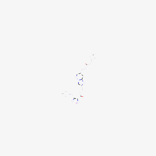 O=C(CC1CC(F)(F)C1)NCc1cnn2cc(CNC(=O)c3nonc3CN3CC(F)C3)nc2c1